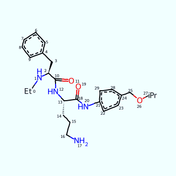 CCN[C@@H](Cc1ccccc1)C(=O)N[C@@H](CCCN)C(=O)Nc1ccc(COC(C)C)cc1